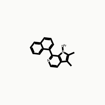 CCCn1c(C)c(C)c2ccnc(-c3cccc4ccccc34)c21